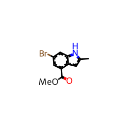 COC(=O)c1cc(Br)cc2[nH]c(C)cc12